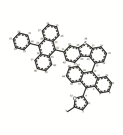 Cc1ccc(-c2c3ccccc3c(-c3cccc4sc5cc(-c6c7ccccc7c(-c7ccccc7)c7ccccc67)ccc5c34)c3ccccc23)o1